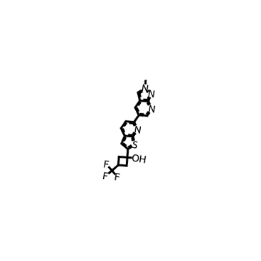 Cn1cc2cc(-c3ccc4cc(C5(O)CC(C(F)(F)F)C5)sc4n3)cnc2n1